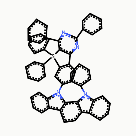 c1ccc(-c2nc(-c3ccccc3)c3c(n2)-c2ccc(-n4c5ccccc5c5ccc6c7ccccc7n(-c7ccccc7)c6c54)cc2[Si]3(c2ccccc2)c2ccccc2)cc1